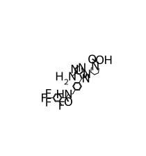 Nc1ncnc2c1c(-c1ccc(CNC(=O)c3ccc(C(F)(F)F)cc3F)cc1)nn2[C@@H]1CCCN(C(=O)O)C1